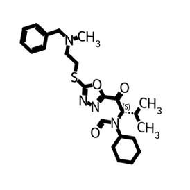 CC(C)[C@@H](C(=O)c1nnc(SCCN(C)Cc2ccccc2)o1)N(C=O)C1CCCCC1